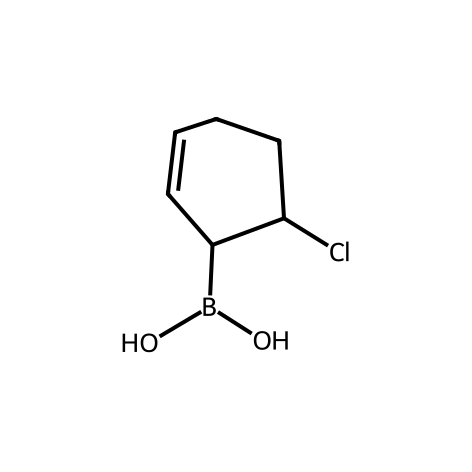 OB(O)C1C=CCCC1Cl